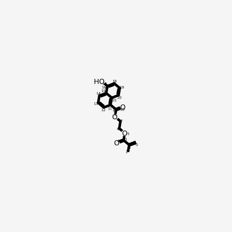 C=C(C)C(=O)OCCOC(=O)c1cccc2c(O)cccc12